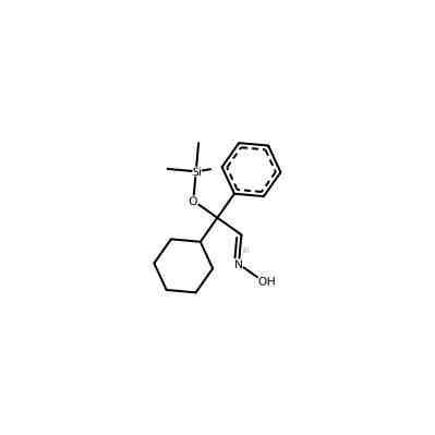 C[Si](C)(C)OC(/C=N/O)(c1ccccc1)C1CCCCC1